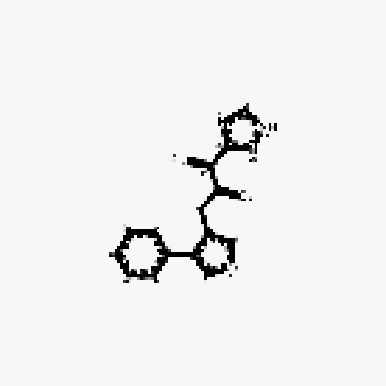 O=C(Cc1cocc1-c1ccccc1)C(=O)c1nc[nH]n1